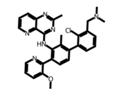 COc1cccnc1-c1ccc(-c2cccc(CN(C)C)c2Cl)c(C)c1Nc1nc(C)nc2cccnc12